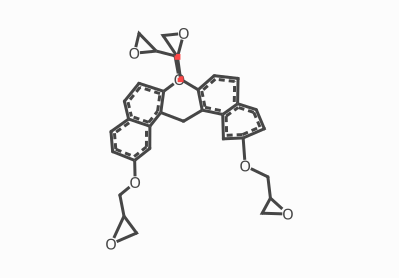 c1cc2ccc(CC3CO3)c(Cc3c(OCC4CO4)ccc4ccc(OCC5CO5)cc34)c2cc1OCC1CO1